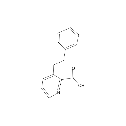 O=C(O)c1ncccc1CCc1ccccc1